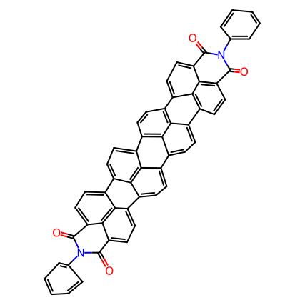 O=C1c2ccc3c4ccc5c6ccc7c8ccc9c%10c(ccc(c%11ccc(c%12ccc(c%13ccc(c2c3%13)C(=O)N1c1ccccc1)c4c5%12)c6c7%11)c%108)C(=O)N(c1ccccc1)C9=O